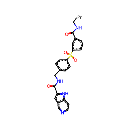 CC(C)CNC(=O)c1cccc(S(=O)(=O)c2ccc(CNC(=O)c3cc4cnccc4[nH]3)cc2)c1